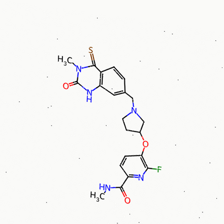 CNC(=O)c1ccc(OC2CCN(Cc3ccc4c(=S)n(C)c(=O)[nH]c4c3)C2)c(F)n1